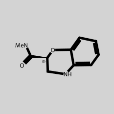 CNC(=O)[C@@H]1CNc2ccccc2O1